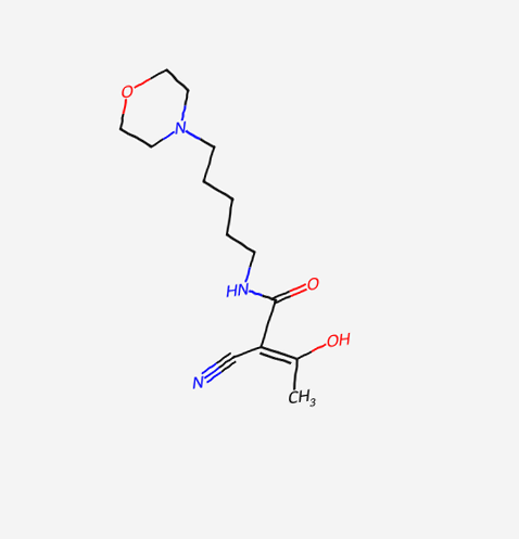 C/C(O)=C(\C#N)C(=O)NCCCCCN1CCOCC1